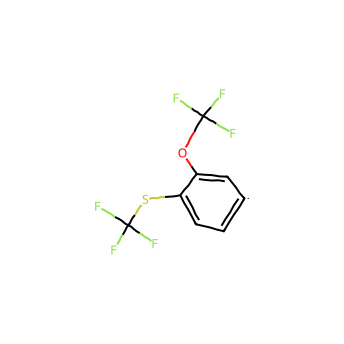 FC(F)(F)Oc1c[c]ccc1SC(F)(F)F